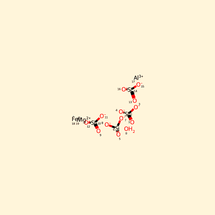 O.O=[Si]([O-])[O-].O=[Si]([O-])[O-].O=[Si]([O-])[O-].O=[Si]([O-])[O-].[Al+3].[Fe+3].[Mg+2]